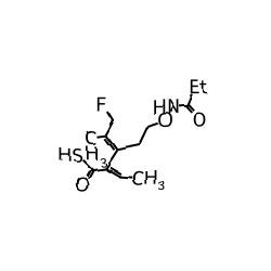 C/C=C(C(=O)S)\C(CCONC(=O)CC)=C(/C)CF